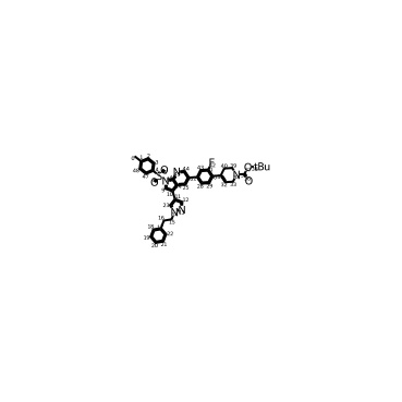 Cc1ccc(S(=O)(=O)n2cc(-c3cnn(CCc4ccccc4)c3)c3cc(-c4ccc(C5=CCN(C(=O)OC(C)(C)C)CC5)c(F)c4)cnc32)cc1